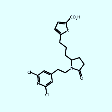 O=C(O)c1ccc(CCCC2CCC(=O)N2CCc2cc(Cl)nc(Cl)c2)s1